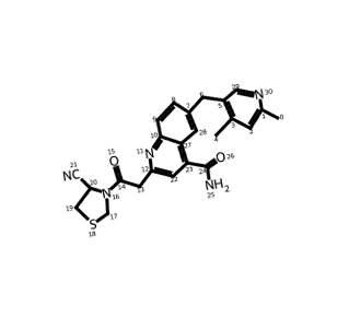 Cc1cc(C)c(Cc2ccc3nc(CC(=O)N4CSCC4C#N)cc(C(N)=O)c3c2)cn1